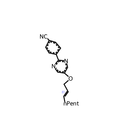 CCCCC/C=C/COc1cnc(-c2ccc(C#N)cc2)nc1